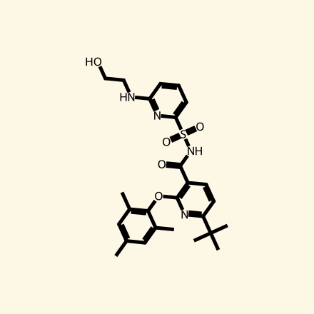 Cc1cc(C)c(Oc2nc(C(C)(C)C)ccc2C(=O)NS(=O)(=O)c2cccc(NCCO)n2)c(C)c1